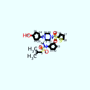 CC(C)CS(=O)(=O)N(C[C@H]1CN(S(=O)(=O)c2cccs2)CCN1c1ccc(O)cc1)c1ccccc1